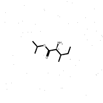 CCC(C)[C@H](N)C(=O)OC(C)C